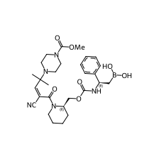 COC(=O)N1CCN(C(C)(C)C=C(C#N)C(=O)N2CCCC[C@@H]2COC(=O)N[C@H](CB(O)O)c2ccccc2)CC1